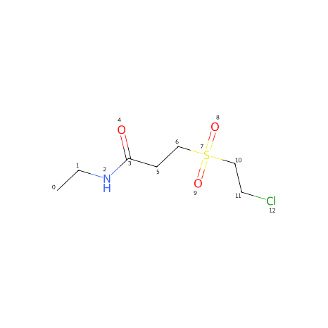 CCNC(=O)CCS(=O)(=O)CCCl